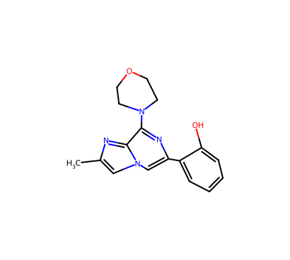 Cc1cn2cc(-c3ccccc3O)nc(N3CCOCC3)c2n1